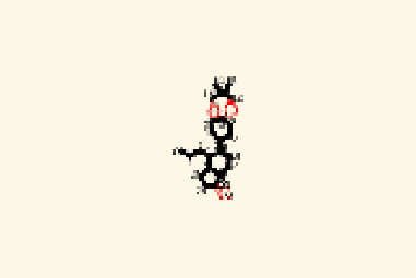 CCCC1C(C2CCC3(CC2)OCC(C)(C)CO3)=CC[C@]2(C)C(=O)CCC12